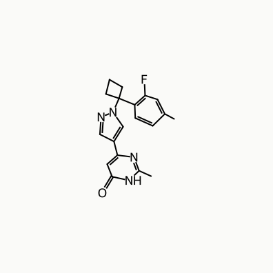 Cc1ccc(C2(n3cc(-c4cc(=O)[nH]c(C)n4)cn3)CCC2)c(F)c1